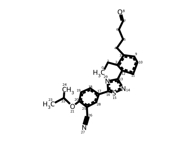 CCc1c(CCCC=O)cccc1-c1nsc(-c2ccc(OC(C)C)c(C#N)c2)n1